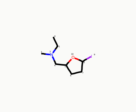 CCN(C)CC1CCC(I)O1